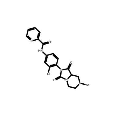 CC(=O)N1CCN2C(=O)N(c3ccc(NC(=O)c4ccccn4)cc3Cl)C(=O)C2C1